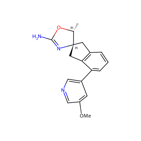 COc1cncc(-c2cccc3c2C[C@@]2(C3)N=C(N)O[C@@H]2C)c1